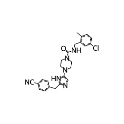 Cc1ccc(Cl)cc1CNC(=O)N1CCN(c2cnc(Cc3ccc(C#N)cc3)[nH]2)CC1